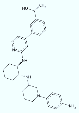 C[C@@H](O)c1cccc(-c2ccnc(N[C@@H]3CCCC[C@H]3N[C@H]3CCCN(c4ccc(N)cc4)C3)c2)c1